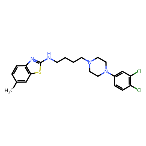 Cc1ccc2nc(NCCCCN3CCN(c4ccc(Cl)c(Cl)c4)CC3)sc2c1